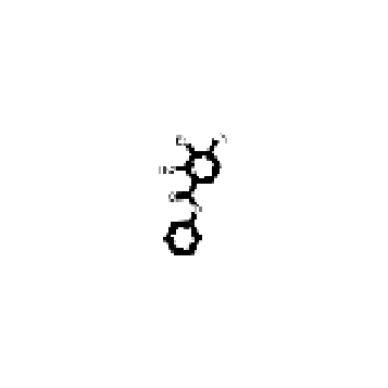 CCc1c(C(C)C)ccc(C(=O)Oc2ccccc2)c1O